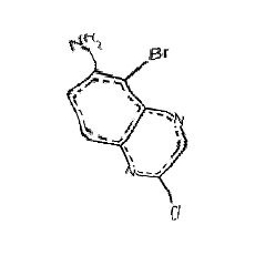 Nc1ccc2nc(Cl)cnc2c1Br